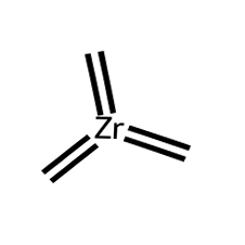 [CH2]=[Zr](=[CH2])=[CH2]